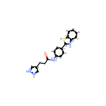 O=C(CCc1cn[nH]c1)Nc1ccc(-c2nc3ccccc3s2)cc1